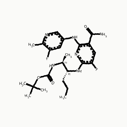 CCC[C@@H](Nc1nc(Nc2cnc(C)c(F)c2)c(C(N)=O)cc1F)[C@H](C)NC(=O)OC(C)(C)C